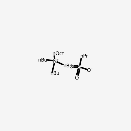 CCCCCCCC[N+](CCCC)(CCCC)CCCC.CCCS(=O)(=O)[O-]